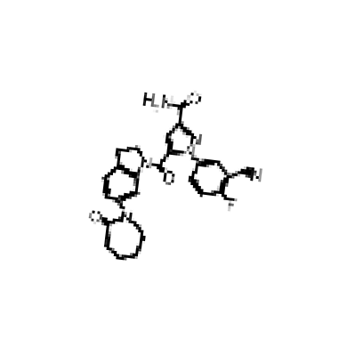 N#Cc1cc(-n2nc(C(N)=O)cc2C(=O)N2CCc3ccc(N4CCCCCC4=O)cc32)ccc1F